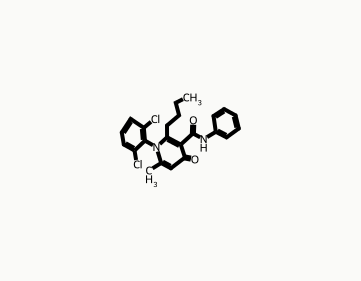 CCCCc1c(C(=O)Nc2ccccc2)c(=O)cc(C)n1-c1c(Cl)cccc1Cl